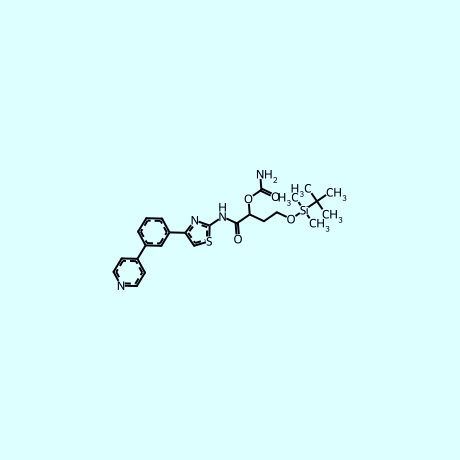 CC(C)(C)[Si](C)(C)OCCC(OC(N)=O)C(=O)Nc1nc(-c2cccc(-c3ccncc3)c2)cs1